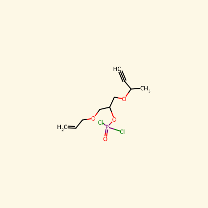 C#CC(C)OCC(COCC=C)OP(=O)(Cl)Cl